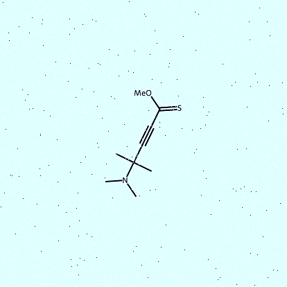 COC(=S)C#CC(C)(C)N(C)C